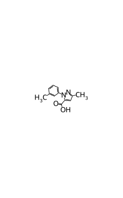 Cc1cccc(-n2nc(C)cc2C(=O)O)c1